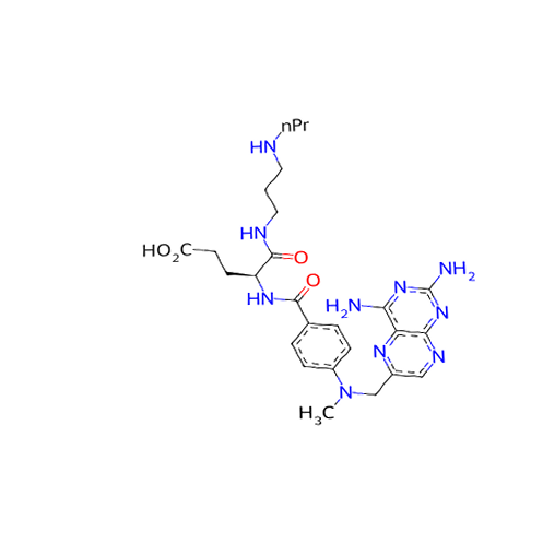 CCCNCCCNC(=O)[C@H](CCC(=O)O)NC(=O)c1ccc(N(C)Cc2cnc3nc(N)nc(N)c3n2)cc1